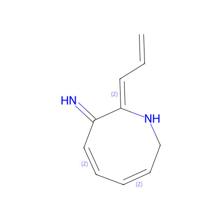 C=C/C=C1\NC/C=C\C=C/C1=N